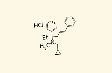 CCC(CC=Cc1ccccc1)(c1ccccc1)N(C)CC1CC1.Cl